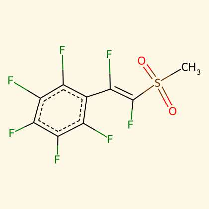 CS(=O)(=O)C(F)=C(F)c1c(F)c(F)c(F)c(F)c1F